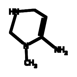 CN1CNCC=C1N